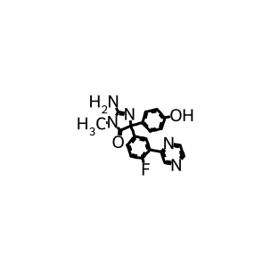 CN1C(=O)C(c2ccc(O)cc2)(c2ccc(F)c(-c3cnccn3)c2)N=C1N